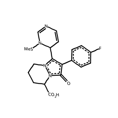 CSN1C=NC=CC1c1c(-c2ccc(F)cc2)c(=O)n2n1CCCC2C(=O)O